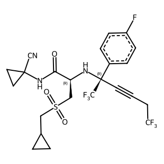 N#CC1(NC(=O)[C@H](CS(=O)(=O)CC2CC2)N[C@@](C#CCC(F)(F)F)(c2ccc(F)cc2)C(F)(F)F)CC1